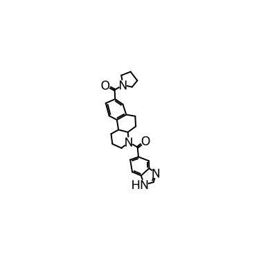 O=C(c1ccc2c(c1)CCC1C2CCCN1C(=O)c1ccc2[nH]cnc2c1)N1CCCC1